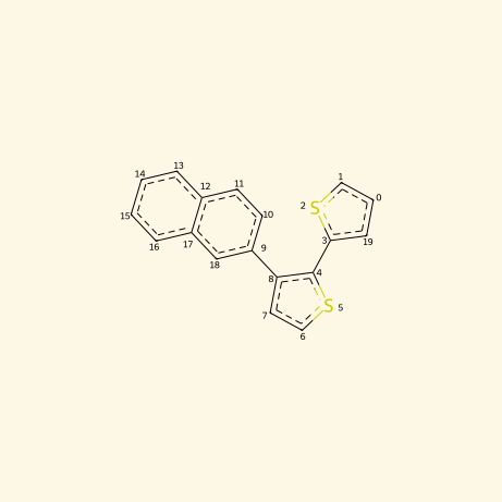 c1csc(-c2sccc2-c2ccc3ccccc3c2)c1